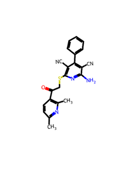 Cc1ccc(C(=O)CSc2nc(N)c(C#N)c(-c3ccccc3)c2C#N)c(C)n1